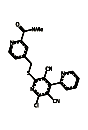 CNC(=O)c1cc(CSc2nc(Cl)c(C#N)c(-c3ccccn3)c2C#N)ccn1